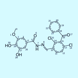 COc1cc(C(=O)N/N=C/c2ccc(Cl)c(C(=O)c3ccccc3)c2Cl)cc(O)c1O